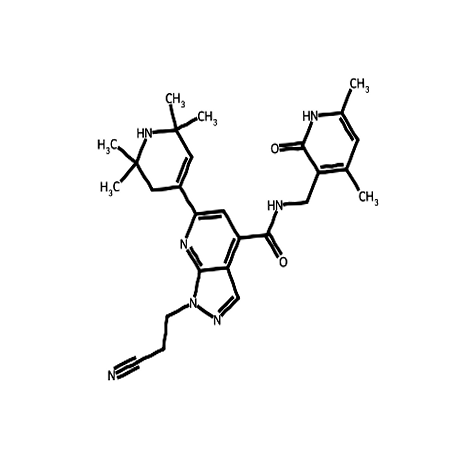 Cc1cc(C)c(CNC(=O)c2cc(C3=CC(C)(C)NC(C)(C)C3)nc3c2cnn3CCC#N)c(=O)[nH]1